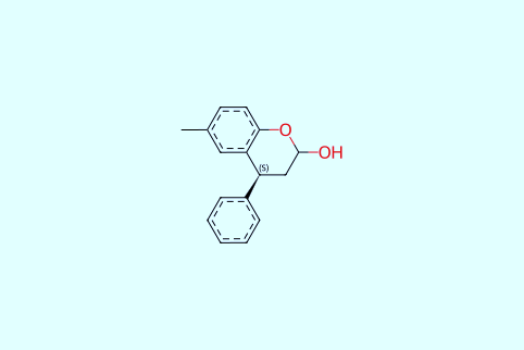 Cc1ccc2c(c1)[C@H](c1ccccc1)CC(O)O2